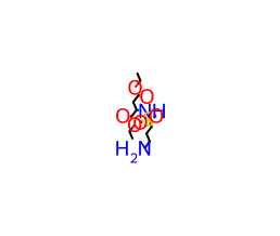 CCOC(=O)CC(NS(=O)(=O)CCCN)C(=O)OCC